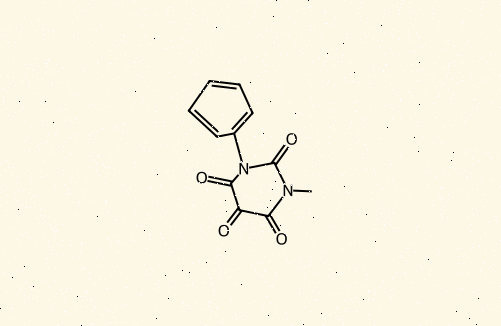 CN1C(=O)C(=O)C(=O)N(c2ccccc2)C1=O